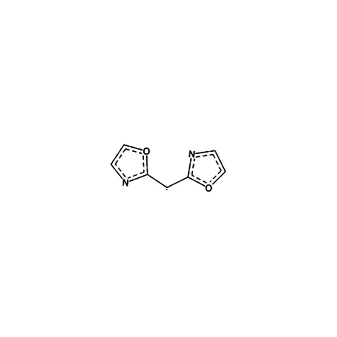 [CH](c1ncco1)c1ncco1